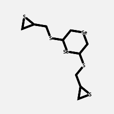 C1SC1CSC1C[Se]CC(SCC2CS2)[Se]1